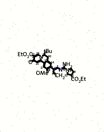 C=C/C(=C\N=C(/N)N1CCC(C(=O)OCC)C1)c1cc2c(cc1OC)-c1cc(=O)c(C(=O)OCC)cn1C(C(C)(C)C)C2